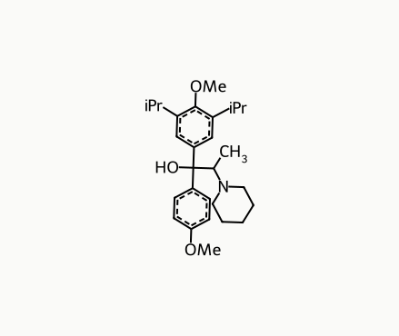 COc1ccc(C(O)(c2cc(C(C)C)c(OC)c(C(C)C)c2)C(C)N2CCCCC2)cc1